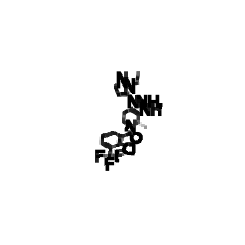 CCn1nccc1N1NNC2=C1CCN(C(=O)c1cccc(C(F)(F)F)c1Cl)[C@H]2C